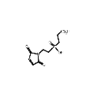 O=C(O)CCP(=O)(O)CCN1C(=O)C=CC1=O